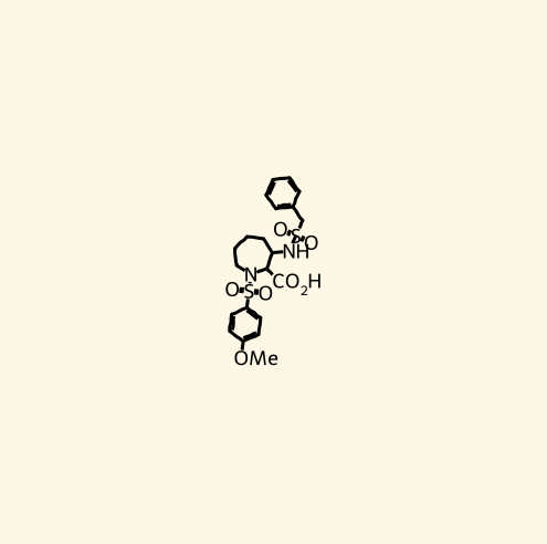 COc1ccc(S(=O)(=O)N2CCCCC(NS(=O)(=O)Cc3ccccc3)C2C(=O)O)cc1